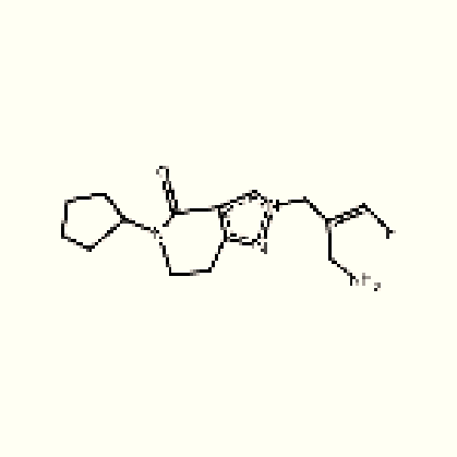 NC/C(=C\F)Cn1cc2c(n1)CCN(C1CCCC1)C2=O